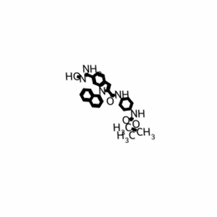 CC(C)(C)OC(=O)N[C@H]1CC[C@H](NC(=O)c2cc3ccc(C(N)=NO)cc3n2-c2cccc3ccccc23)CC1